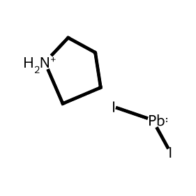 C1CC[NH2+]C1.[I][Pb][I]